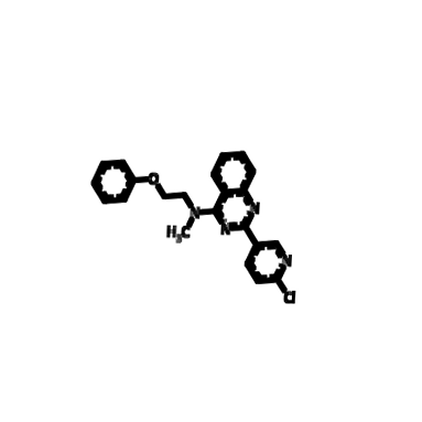 CN(CCOc1ccccc1)c1nc(-c2ccc(Cl)nc2)nc2ccccc12